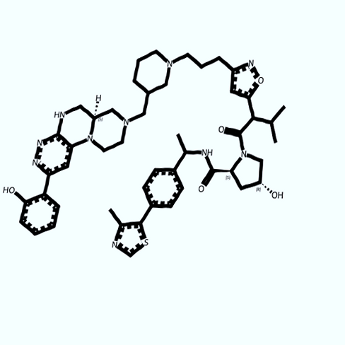 Cc1ncsc1-c1ccc(C(C)NC(=O)[C@@H]2C[C@@H](O)CN2C(=O)C(c2cc(CCCN3CCCC(CN4CCN5c6cc(-c7ccccc7O)nnc6NC[C@H]5C4)C3)no2)C(C)C)cc1